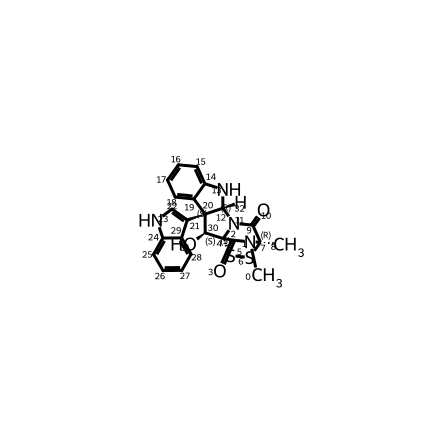 CN1C(=O)[C@]23SS[C@]1(C)C(=O)N2[C@H]1Nc2ccccc2[C@@]1(c1c[nH]c2ccccc12)[C@@H]3O